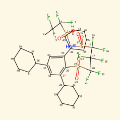 CC(F)(F)C(F)(F)S(=O)(=O)NS(=O)(=O)C(F)(F)C(F)(F)C(F)(F)S(=O)(=O)c1c(C2CCCCC2)cc(C2CCCCC2)cc1C1CCCCC1